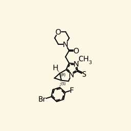 Cn1c(CC(=O)N2CCOCC2)c2n(c1=S)C[C@@]1(c3cc(Br)ccc3F)C[C@@H]21